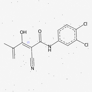 C=C(C)/C(O)=C(\C#N)C(=O)Nc1ccc(Cl)c(Cl)c1